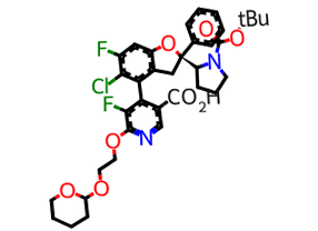 CC(C)(C)OC(=O)N1CCCC1[C@@]1(c2ccccc2)Cc2c(cc(F)c(Cl)c2-c2c(C(=O)O)cnc(OCCOC3CCCCO3)c2F)O1